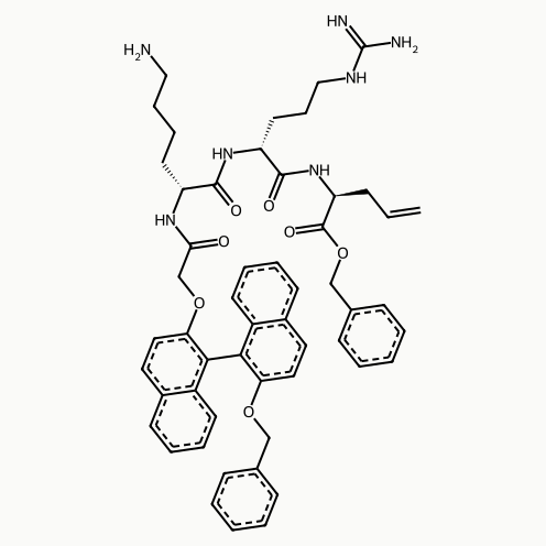 C=CC[C@H](NC(=O)[C@@H](CCCNC(=N)N)NC(=O)[C@@H](CCCCN)NC(=O)COc1ccc2ccccc2c1-c1c(OCc2ccccc2)ccc2ccccc12)C(=O)OCc1ccccc1